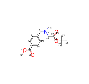 COC(=O)c1ccc(CN(C)CC(=O)OC(C)(C)C)cc1